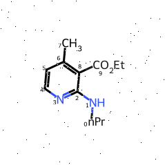 CCCNc1nccc(C)c1C(=O)OCC